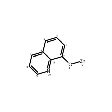 [Zn][O]c1cccc2cccnc12